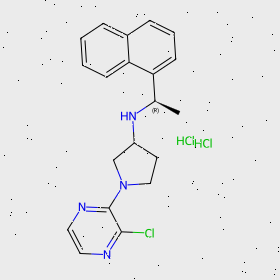 C[C@@H](NC1CCN(c2nccnc2Cl)C1)c1cccc2ccccc12.Cl.Cl